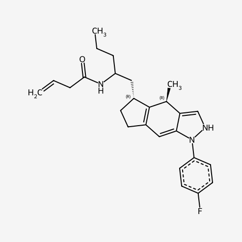 C=CCC(=O)NC(CCC)C[C@H]1CCC2=C1[C@@H](C)C1=CNN(c3ccc(F)cc3)C1=C2